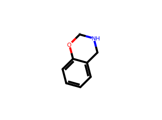 [C]1NCc2ccccc2O1